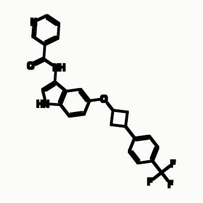 O=C(Nc1c[nH]c2ccc(OC3CC(c4ccc(C(F)(F)F)cc4)C3)cc12)c1cccnc1